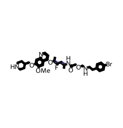 COc1cc2c(O/C(C)=C(F)/C=C(\C)NC(=O)COCNCCc3ccc(Br)cc3)ccnc2cc1OCC1CCNCC1